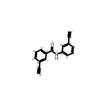 C#Cc1cccc(NC(=O)c2cccc(C#C)c2)c1